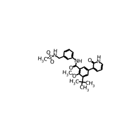 COc1c(C(=O)Nc2cccc(CNS(C)(=O)=O)c2)cc(-c2ccc[nH]c2=O)cc1C(C)(C)C